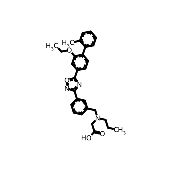 CCCN(CC(=O)O)Cc1cccc(-c2noc(-c3ccc(-c4ccccc4C)c(OCC)c3)n2)c1